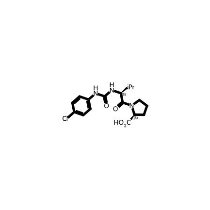 CC(C)[C@H](NC(=O)Nc1ccc(Cl)cc1)C(=O)N1CCC[C@H]1C(=O)O